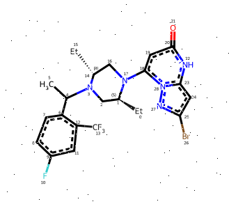 CC[C@H]1CN(C(C)c2ccc(F)cc2C(F)(F)F)[C@H](CC)CN1c1cc(=O)[nH]c2cc(Br)nn12